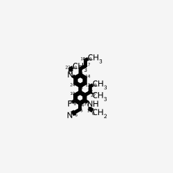 C=CNc1c(CC#N)c(F)cc(-c2ccc(CCCC)c(/N=C\C)c2)c1[C@H](C)CC